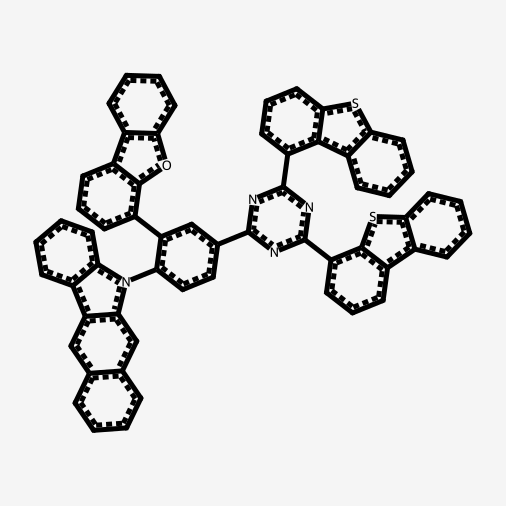 c1ccc2cc3c(cc2c1)c1ccccc1n3-c1ccc(-c2nc(-c3cccc4c3sc3ccccc34)nc(-c3cccc4sc5ccccc5c34)n2)cc1-c1cccc2c1oc1ccccc12